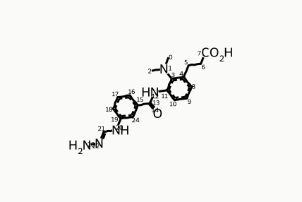 CN(C)c1c(CCC(=O)O)cccc1NC(=O)c1cccc(NC=NN)c1